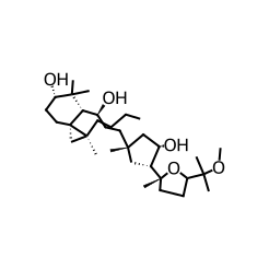 CCCC[C@@]1(C)C[C@@]12CC[C@H](O)C(C)(C)[C@@H]2[C@@H](O)CC[C@@]1(C)C[C@@H]([C@@]2(C)CCC(C(C)(C)OC)O2)[C@@H](O)C1